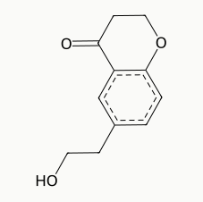 O=C1CCOc2ccc(CCO)cc21